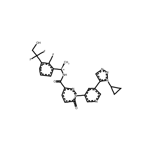 C[C@@H](NC(=O)c1ccc(=O)n(-c2cncc(-c3cnnn3C3CC3)c2)n1)c1cccc(C(F)(F)CO)c1F